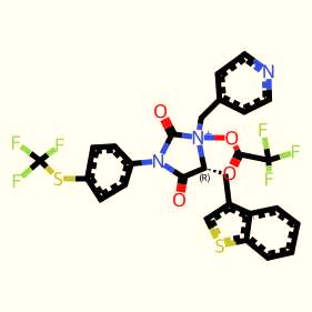 O=C1[C@@H](Cc2csc3ccccc23)[N+](Cc2ccncc2)(OC(=O)C(F)(F)F)C(=O)N1c1ccc(SC(F)(F)F)cc1